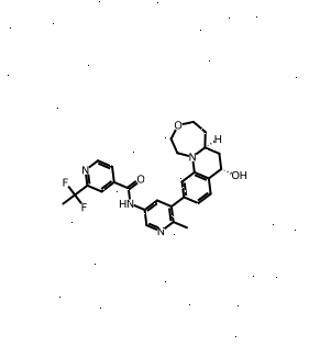 Cc1ncc(NC(=O)c2ccnc(C(C)(F)F)c2)cc1-c1ccc2c(c1)N1CCOCC[C@H]1C[C@@H]2O